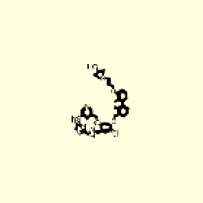 CCc1csc(CNCc2cc(Cl)c(OCc3cccc(-c4cccc(OCCCN5CC[C@@H](O)C5)c4C)c3C)cc2OCc2cncc(C#N)c2)n1